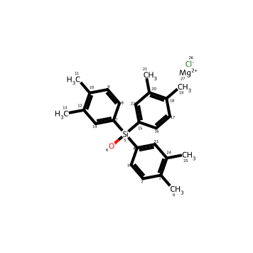 Cc1ccc([Si]([O-])(c2ccc(C)c(C)c2)c2ccc(C)c(C)c2)cc1C.[Cl-].[Mg+2]